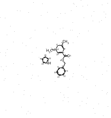 CC1=CC(C(=O)OCc2ccccc2)=CN(C)C1.c1cc[nH]c1